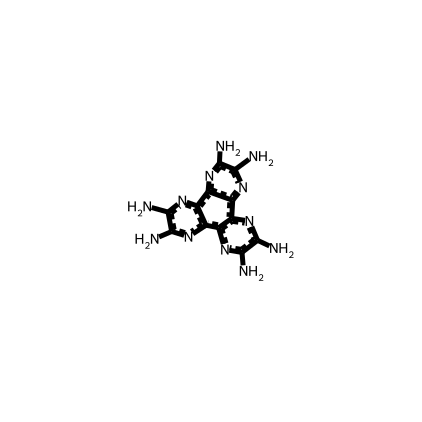 Nc1nc2c3nc(N)c(N)nc3c3nc(N)c(N)nc3c2nc1N